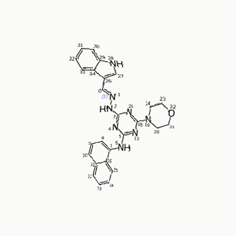 C(=N\Nc1nc(Nc2cccc3ccccc23)nc(N2CCOCC2)n1)/c1c[nH]c2ccccc12